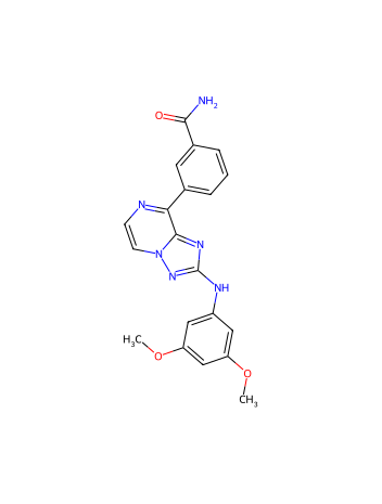 COc1cc(Nc2nc3c(-c4cccc(C(N)=O)c4)nccn3n2)cc(OC)c1